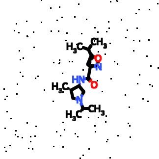 CC(C)c1cc(C(=O)N[C@@H]2CN(C(C)C)C[C@@H]2C)no1